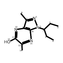 CCC(CC)n1nc(C)c2nc(O)c(C)nc21